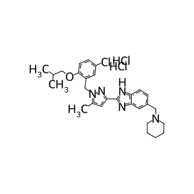 Cc1cc(-c2nc3cc(CN4CCCCC4)ccc3[nH]2)nn1Cc1cc(Cl)ccc1OCC(C)C.Cl.Cl